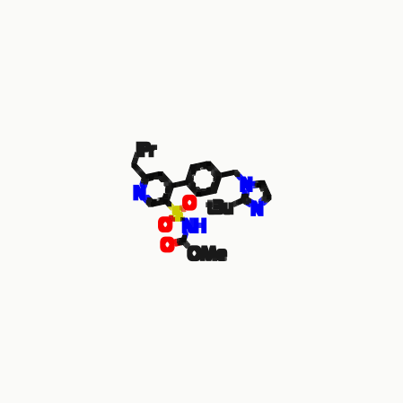 COC(=O)NS(=O)(=O)c1cnc(CC(C)C)cc1-c1ccc(Cn2ccnc2C(C)(C)C)cc1